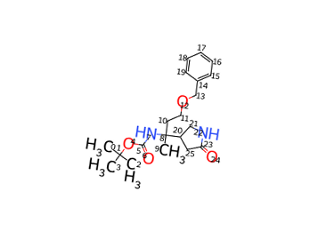 CC(C)(C)OC(=O)NC(C)(CCOCc1ccccc1)C1CNC(=O)C1